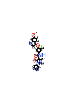 COc1ccc2c(Oc3ccc(NC(=O)c4c(C)n(C)n(-c5ccncc5)c4=O)cc3F)ccnc2c1